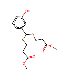 COC(=O)CCSC(SCCC(=O)OC)c1cccc(O)c1